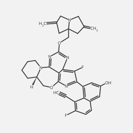 C#Cc1c(F)ccc2cc(O)cc(-c3nc4c5c(nc(OCC67CC(=C)CN6CC(=C)C7)nc5c3F)N3CCCC[C@H]3CO4)c12